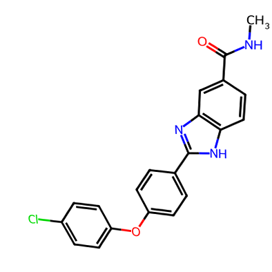 CNC(=O)c1ccc2[nH]c(-c3ccc(Oc4ccc(Cl)cc4)cc3)nc2c1